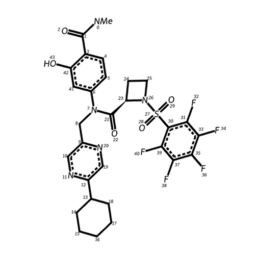 CNC(=O)c1ccc(N(Cc2cnc(C3CCCCC3)cn2)C(=O)[C@H]2CCN2S(=O)(=O)c2c(F)c(F)c(F)c(F)c2F)cc1O